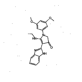 CCNC1=C(c2nc3ccccc3[nH]2)C(=O)CN1c1cc(OC)cc(OC)c1